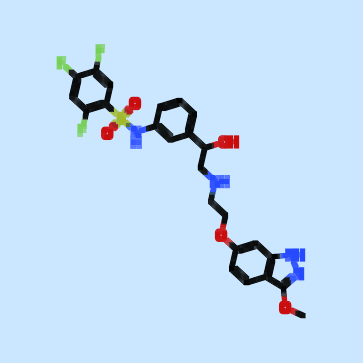 COc1n[nH]c2cc(OCCNCC(O)c3cccc(NS(=O)(=O)c4cc(F)c(F)cc4F)c3)ccc12